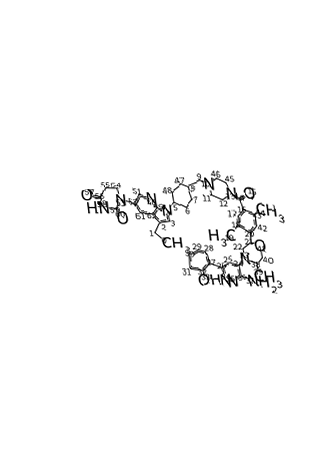 CCc1cn(C2CCC(CN3CCN(C(=O)c4cc(C)c([C@@H]5CN(c6cc(-c7ccccc7O)nnc6N)[C@H](C)CO5)cc4C)CC3)CC2)c2ncc(N3CCC(=O)NC3=O)cc12